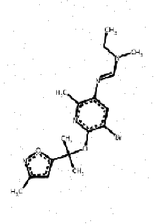 CCN(C)/C=N/c1cc(Br)c(OC(C)(C)c2cc(C)no2)nc1C